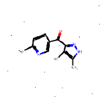 Cc1ccc(C(=O)c2n[nH]c(C)c2C#N)cn1